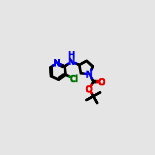 CC(C)(C)OC(=O)N1CCC(Nc2ncccc2Cl)C1